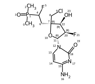 CP(C)(=O)C(F)C[C@@]1(CCl)O[C@@H](n2ccc(N)nc2=O)[C@H](F)[C@@H]1O